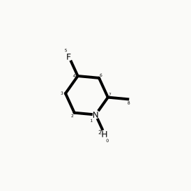 [2H]N1CCC(F)CC1C